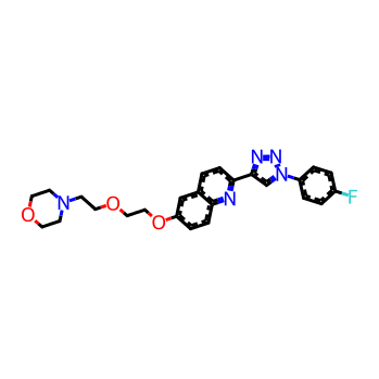 Fc1ccc(-n2cc(-c3ccc4cc(OCCOCCN5CCOCC5)ccc4n3)nn2)cc1